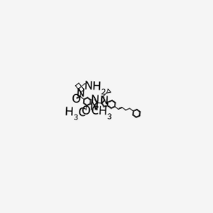 COc1cc(C(=O)N2C[C@@]3(CN)CCC23)cc2nc(-c3cc4cc(/C=C/CCc5ccccc5)ccc4n3CC3CC3)n(C)c12